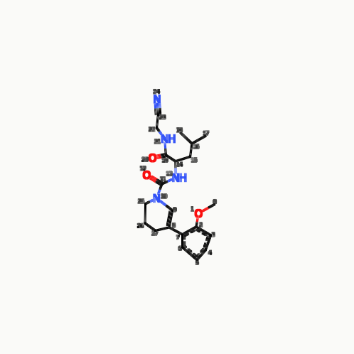 COc1ccccc1C1=CN(C(=O)NC(CC(C)C)C(=O)NCC#N)CCC1